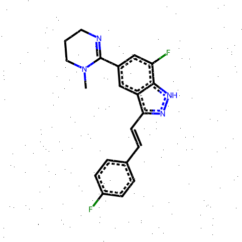 CN1CCCN=C1c1cc(F)c2[nH]nc(C=Cc3ccc(F)cc3)c2c1